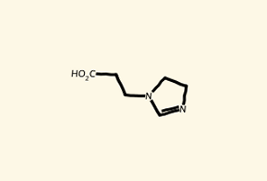 O=C(O)CCN1C=NCC1